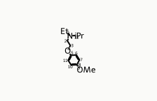 CCN(CCOc1ccc(OC)cc1)C(C)C